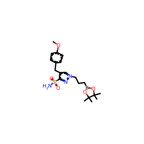 COc1ccc(Cc2cn(CCCB3OC(C)(C)C(C)(C)O3)nc2S(N)(=O)=O)cc1